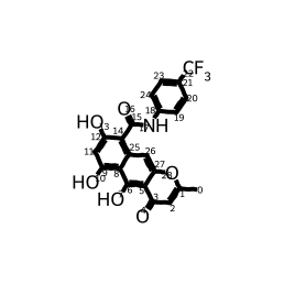 Cc1cc(=O)c2c(O)c3c(O)cc(O)c(C(=O)Nc4ccc(C(F)(F)F)cc4)c3cc2o1